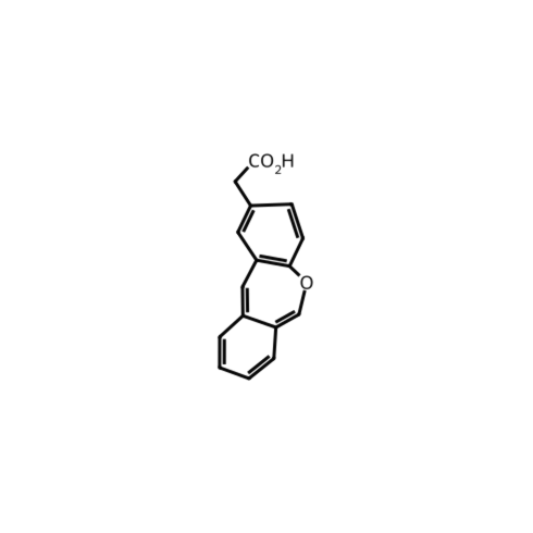 O=C(O)Cc1ccc2c(c1)C=c1ccccc1=CO2